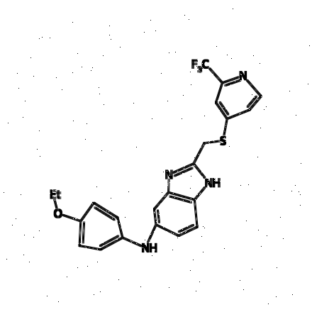 CCOc1ccc(Nc2ccc3[nH]c(CSc4ccnc(C(F)(F)F)c4)nc3c2)cc1